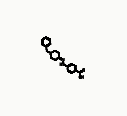 O=C(O)c1ccc(NN=C2CCN(Cc3ccccc3)CC2)cc1